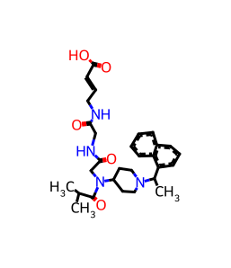 CC(C)C(=O)N(CC(=O)NCC(=O)NC/C=C/C(=O)O)C1CCN(C(C)c2cccc3ccccc23)CC1